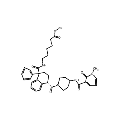 Cn1cccc(C(=O)NC2CCN(C(=O)[C@H]3CC[C@@](C(=O)NCCCCCC(=O)OC(C)(C)C)(c4ccccc4)c4ccccc43)CC2)c1=O